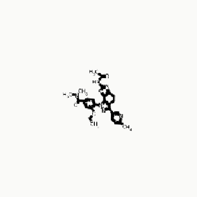 CCOc1cc(C(=O)N(C)C)ccc1-n1nc(-c2ccc(C)nc2)c2c1-c1sc(NC(C)=O)nc1CC2